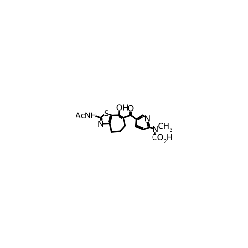 CC(=O)Nc1nc2c(s1)C(O)=C(C(=O)c1ccc(N(C)C(=O)O)nc1)CCC2